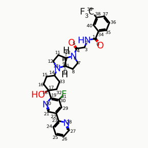 O=C(NCC(=O)N1CC[C@@H]2[C@H]1CCN2C1CCC(O)(c2ncc(-c3ccccn3)cc2F)CC1)c1cccc(C(F)(F)F)c1